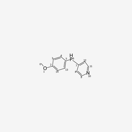 COc1ccc(Pc2ccncc2)cc1